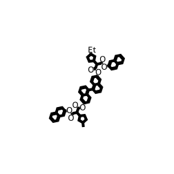 CCC1CCC(C(C(=O)Oc2ccc3ccccc3c2)C(=O)Oc2ccc3c(-c4cccc5cc(OC(=O)C(C(=O)Oc6ccc7ccccc7c6)C6CCC(C)C6)ccc45)cccc3c2)C1